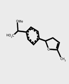 COC(C(=O)O)c1ccc(C2CC=C(C)O2)cc1